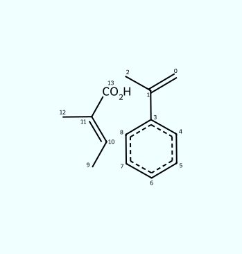 C=C(C)c1ccccc1.CC=C(C)C(=O)O